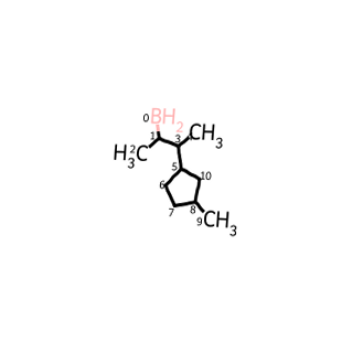 BC(C)C(C)C1CCC(C)C1